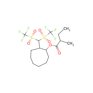 CCC(C)C(=O)OC1CCCCCCC1C(S(=O)(=O)C(F)(F)F)S(=O)(=O)C(F)(F)F